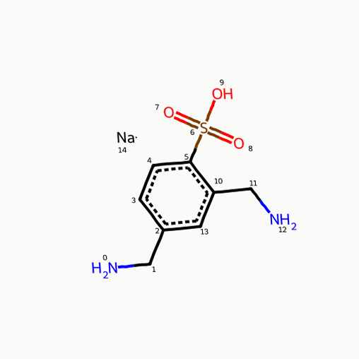 NCc1ccc(S(=O)(=O)O)c(CN)c1.[Na]